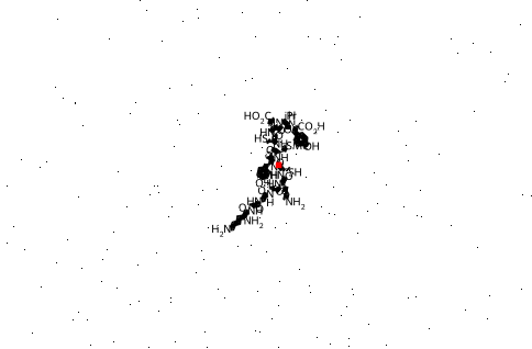 CSCC[C@H](NC(=O)[C@H](Cc1ccc(O)cc1)NC(=O)[C@H](CS)NC(=O)[C@H](CCCCN)NC(=O)CNC(=O)CNC(=O)CNC(=O)[C@@H](N)CCCCN)C(=O)N[C@@H](CS)C(=O)N[C@H](CCC(=O)O)C(=O)N[C@H](C(=O)N[C@@H](Cc1ccc(O)cc1)C(=O)O)C(C)C